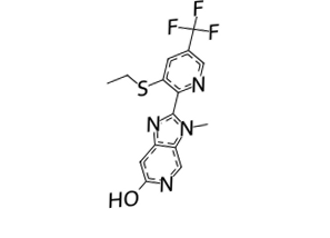 CCSc1cc(C(F)(F)F)cnc1-c1nc2cc(O)ncc2n1C